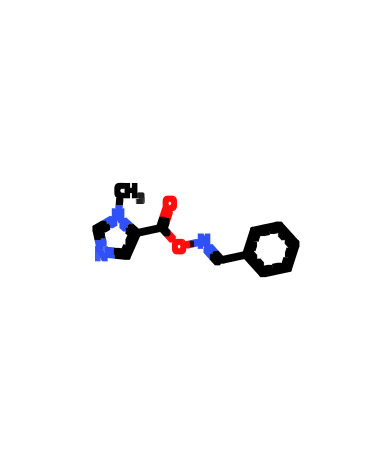 Cn1cncc1C(=O)ON=Cc1ccccc1